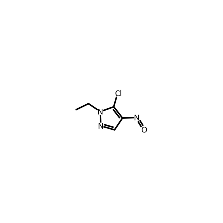 CCn1ncc(N=O)c1Cl